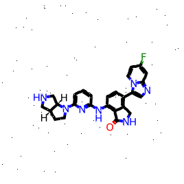 O=C1NCc2c(-c3cnc4cc(F)ccn34)ccc(Nc3cccc(N4CC[C@H]5CNC[C@H]54)n3)c21